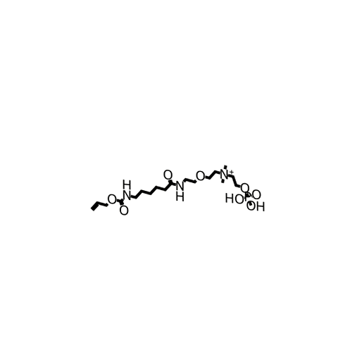 C=CCOC(=O)NCCCCCC(=O)NCCOCC[N+](C)(C)CCOP(=O)(O)O